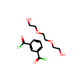 O=C(Cl)c1cccc(C(=O)Cl)c1.OCCOCCOCCO